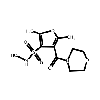 Cc1oc(C)c(S(=O)(=O)NO)c1C(=O)N1CCOCC1